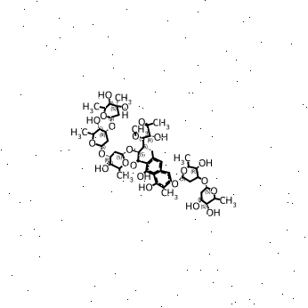 CO[C@@H]([C@@H]1Cc2cc3cc(O[C@H]4CC(O[C@H]5C[C@@H](O)[C@H](O)C(C)O5)[C@H](O)C(C)O4)c(C)c(O)c3c(O)c2C(=O)[C@H]1O[C@H]1C[C@@H](O[C@H]2C[C@@H](O[C@H]3C[C@](C)(O)[C@H](O)C(C)O3)[C@@H](O)C(C)O2)[C@H](O)C(C)O1)[C@@H](O)C(C)=O